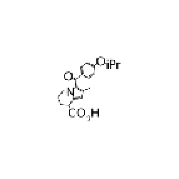 Cc1cc2n(c1C(=O)c1ccc(OC(C)C)cc1)CCCC2C(=O)O